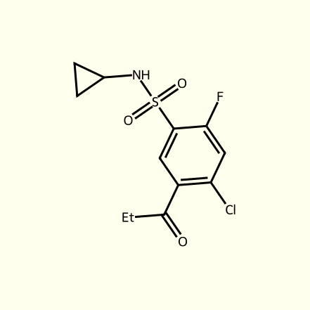 CCC(=O)c1cc(S(=O)(=O)NC2CC2)c(F)cc1Cl